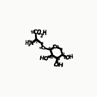 NC(COC1OCC(O)C(O)C1O)C(=O)O